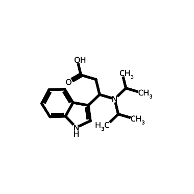 CC(C)N(C(C)C)C(CC(=O)O)c1c[nH]c2ccccc12